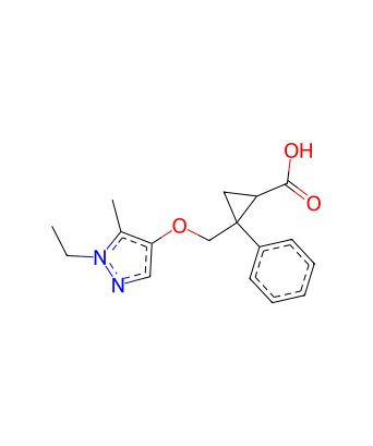 CCn1ncc(OCC2(c3ccccc3)CC2C(=O)O)c1C